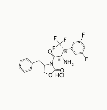 Cl.N[C@H](C(=O)N1C(=O)OCC1Cc1ccccc1)[C@@H](c1cc(F)cc(F)c1)C(F)(F)F